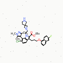 Cc1nn(C)c(C)c1-c1c(Cl)ccc2c(CCCOc3cccc4cc(F)ccc34)c(C(=O)OC(C)(C)C)n(CCN3CC4(CCNC4)C3)c12